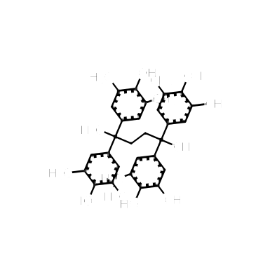 Cc1cc(C(C)(CCC(C)(c2cc(C)c(O)c(C)c2)c2cc(C)c(O)c(C)c2)c2cc(C)c(O)c(C)c2)cc(C)c1O